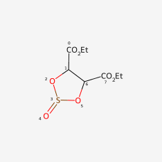 CCOC(=O)C1OS(=O)OC1C(=O)OCC